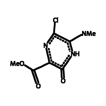 CNc1[nH]c(=O)c(C(=O)OC)nc1Cl